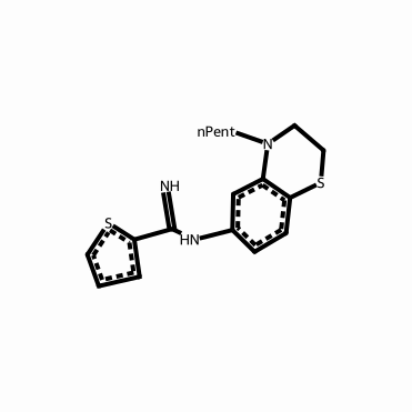 CCCCCN1CCSc2ccc(NC(=N)c3cccs3)cc21